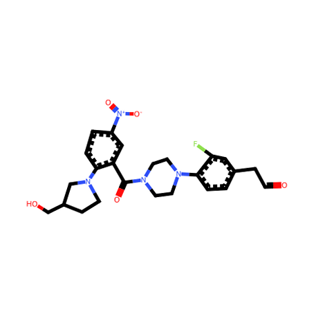 O=CCc1ccc(N2CCN(C(=O)c3cc([N+](=O)[O-])ccc3N3CCC(CO)C3)CC2)c(F)c1